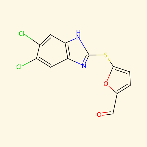 O=Cc1ccc(Sc2nc3cc(Cl)c(Cl)cc3[nH]2)o1